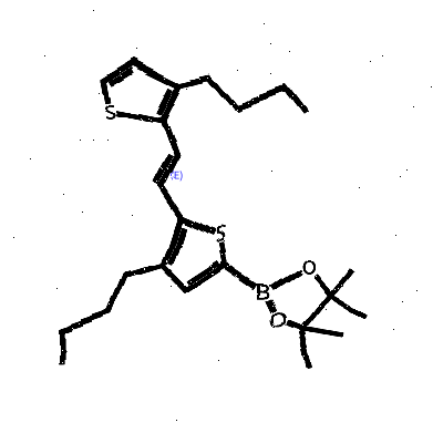 CCCCc1ccsc1/C=C/c1sc(B2OC(C)(C)C(C)(C)O2)cc1CCCC